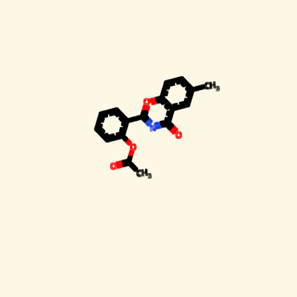 CC(=O)Oc1ccccc1-c1nc(=O)c2cc(C)ccc2o1